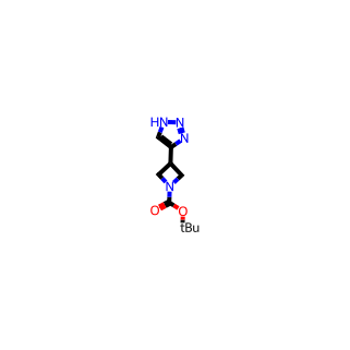 CC(C)(C)OC(=O)N1CC(c2c[nH]nn2)C1